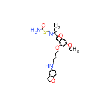 C=C(/N=C/SC(N)=O)c1cc2c(OCCCCCNc3ccc4c(c3)CCO4)cc(OC)cc2o1